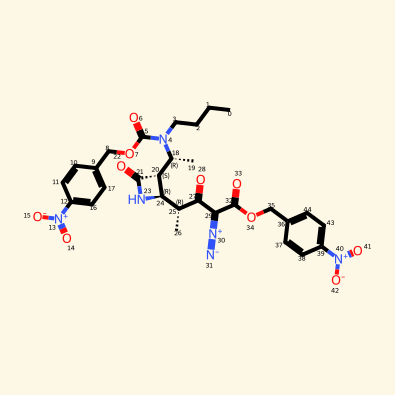 CCCCN(C(=O)OCc1ccc([N+](=O)[O-])cc1)[C@H](C)[C@H]1C(=O)N[C@@H]1[C@@H](C)C(=O)C(=[N+]=[N-])C(=O)OCc1ccc([N+](=O)[O-])cc1